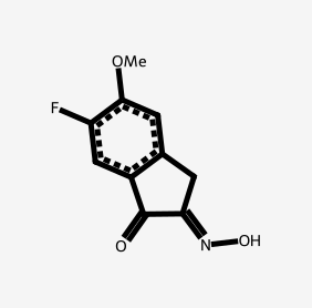 COc1cc2c(cc1F)C(=O)C(=NO)C2